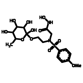 COc1ccc(S(=O)(=O)N(CCOC2(O)OC(C)C(O)C(O)C2O)CC(=O)NO)cc1